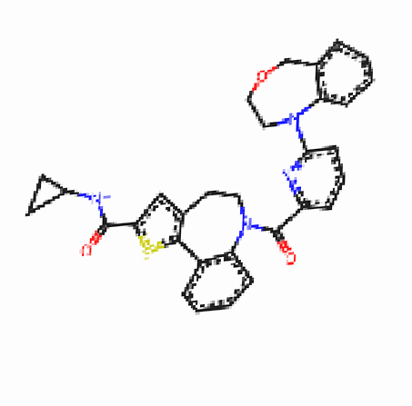 O=C(NC1CC1)c1cc2c(s1)-c1ccccc1N(C(=O)c1cccc(N3CCOCc4ccccc43)n1)CC2